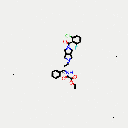 CCOC(=O)C(=O)N[C@@H](CCN1CC2CN(C(=O)c3c(F)cccc3Cl)CC2C1)c1ccccc1